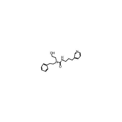 O=C(NCCCc1cccnc1)N(CCO)CCc1ccccc1